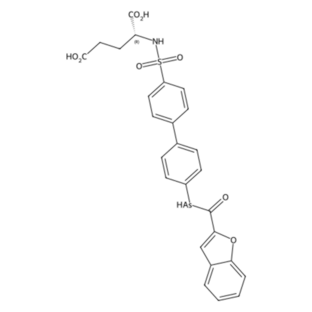 O=C(O)CC[C@@H](NS(=O)(=O)c1ccc(-c2ccc([AsH]C(=O)c3cc4ccccc4o3)cc2)cc1)C(=O)O